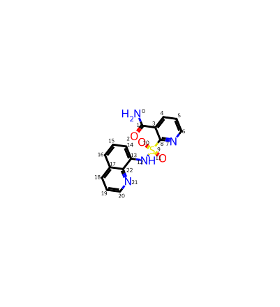 NC(=O)c1cccnc1S(=O)(=O)Nc1cccc2cccnc12